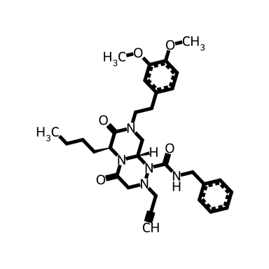 C#CCN1CC(=O)N2[C@@H](CCCC)C(=O)N(CCc3ccc(OC)c(OC)c3)C[C@@H]2N1C(=O)NCc1ccccc1